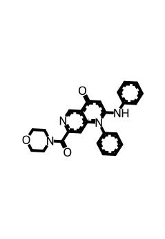 O=C(c1cc2c(cn1)c(=O)cc(Nc1ccccc1)n2-c1ccccc1)N1CCOCC1